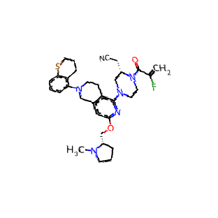 C=C(F)C(=O)N1CCN(c2nc(OC[C@@H]3CCCN3C)cc3c2CCN(c2cccc4c2CCCS4)C3)C[C@@H]1CC#N